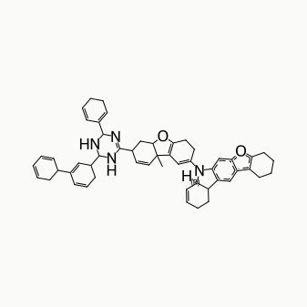 CC12C=CC(C3=NC(C4=CCCC=C4)NC(C4C=C(C5C=CC=CC5)C=CC4)N3)CC1OC1=C2C=C(N2c3cc4oc5c(c4cc3C3CCC=C[C@H]32)CCCC5)CC1